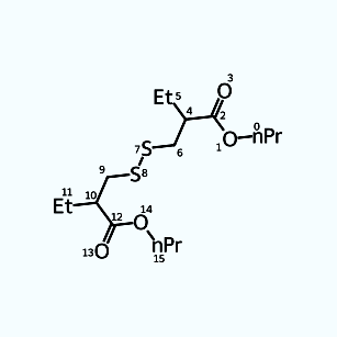 CCCOC(=O)C(CC)CSSCC(CC)C(=O)OCCC